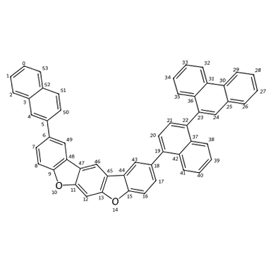 c1ccc2cc(-c3ccc4oc5cc6oc7ccc(-c8ccc(-c9cc%10ccccc%10c%10ccccc9%10)c9ccccc89)cc7c6cc5c4c3)ccc2c1